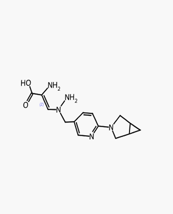 N/C(=C\N(N)Cc1ccc(N2CC3CC3C2)nc1)C(=O)O